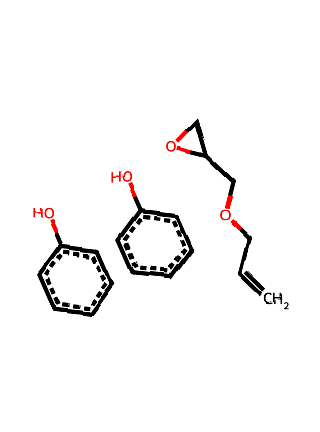 C=CCOCC1CO1.Oc1ccccc1.Oc1ccccc1